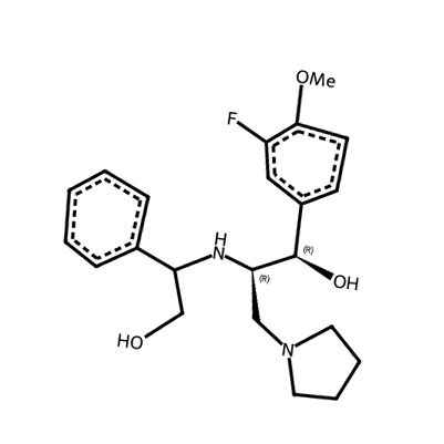 COc1ccc([C@@H](O)[C@@H](CN2CCCC2)NC(CO)c2ccccc2)cc1F